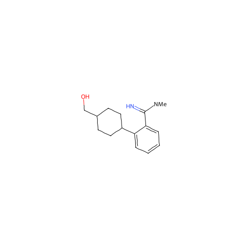 CNC(=N)c1ccccc1C1CCC(CO)CC1